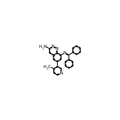 Cc1ccncc1-c1cc(N=C(c2ccccc2)c2ccccc2)c2nnc(N)cc2c1